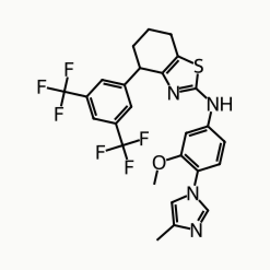 COc1cc(Nc2nc3c(s2)CCCC3c2cc(C(F)(F)F)cc(C(F)(F)F)c2)ccc1-n1cnc(C)c1